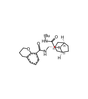 CC(C)(C)NC(=O)CN1[C@@H]2CC[C@H]1C[C@H](CNC(=O)c1cccc3c1OCCC3)C2